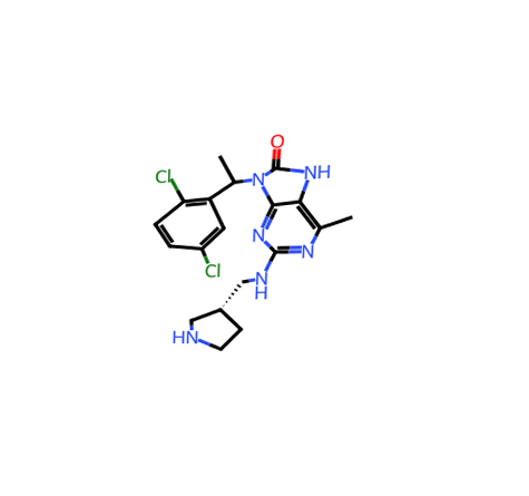 Cc1nc(NC[C@@H]2CCNC2)nc2c1[nH]c(=O)n2C(C)c1cc(Cl)ccc1Cl